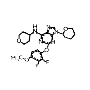 COc1ccc(Oc2nc(NC3CCOCC3)c3ncn(C4CCCCO4)c3n2)c(F)c1F